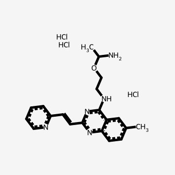 Cc1ccc2nc(C=Cc3ccccn3)nc(NCCOC(C)N)c2c1.Cl.Cl.Cl